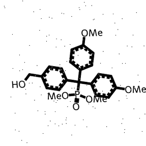 COc1ccc(C(c2ccc(CO)cc2)(c2ccc(OC)cc2)P(=O)(OC)OC)cc1